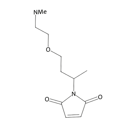 CNCCOCCC(C)N1C(=O)C=CC1=O